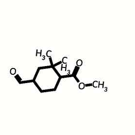 COC(=O)C1CCC(C=O)CC1(C)C